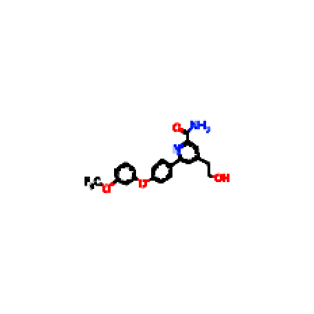 NC(=O)c1cc(CCO)cc(-c2ccc(Oc3cccc(OC(F)(F)F)c3)cc2)n1